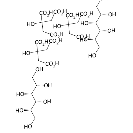 O=C(O)CC(O)(CC(=O)O)C(=O)O.O=C(O)CC(O)(CC(=O)O)C(=O)O.O=C(O)CC(O)(CC(=O)O)C(=O)O.OC[C@@H](O)[C@@H](O)[C@H](O)[C@@H](O)CO.OC[C@@H](O)[C@@H](O)[C@H](O)[C@@H](O)CO